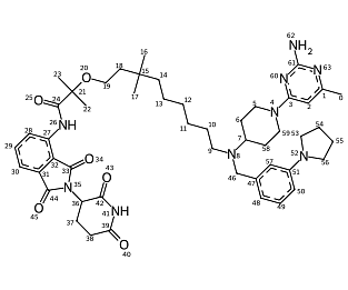 Cc1cc(N2CCC(N(CCCCCCC(C)(C)CCOC(C)(C)C(=O)Nc3cccc4c3C(=O)N(C3CCC(=O)NC3=O)C4=O)Cc3cccc(N4CCCC4)c3)CC2)nc(N)n1